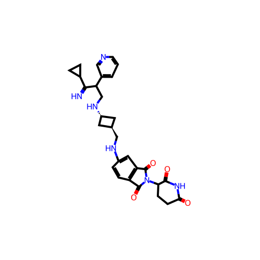 N=C(C1CC1)C(CN[C@H]1C[C@H](CNc2ccc3c(c2)C(=O)N(C2CCC(=O)NC2=O)C3=O)C1)c1cccnc1